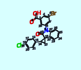 O=C(O)c1cc(Br)cc(N2C(=O)C3(CC3c3ccc(Cl)cc3)c3ccccc32)c1